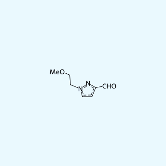 COCCn1ccc(C=O)n1